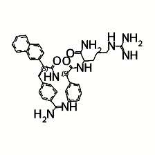 N=C(N)NCCCC(NC(=O)[C@@H](NC(=O)[C@@H](Cc1ccc(C(=N)N)cc1)c1ccc2ccccc2c1)c1ccccc1)C(N)=O